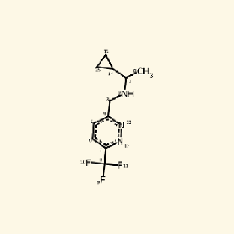 CC(NCc1ccc(C(F)(F)F)nn1)C1CC1